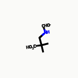 CC(C)(CN[C]=O)C(=O)O